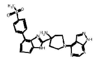 CS(=O)(=O)c1ccc(-c2cccc3[nH]c(C4(N)CCN(c5ncnc6[nH]ncc56)CC4)nc23)cc1